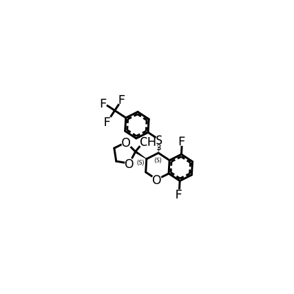 CC1([C@@H]2COc3c(F)ccc(F)c3[C@H]2Sc2ccc(C(F)(F)F)cc2)OCCO1